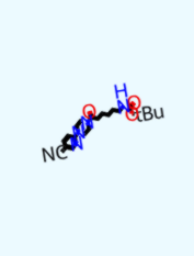 CC(C)(C)OC(=O)NCCCCCC(=O)N1CCN(c2ccc(C#N)cn2)CC1